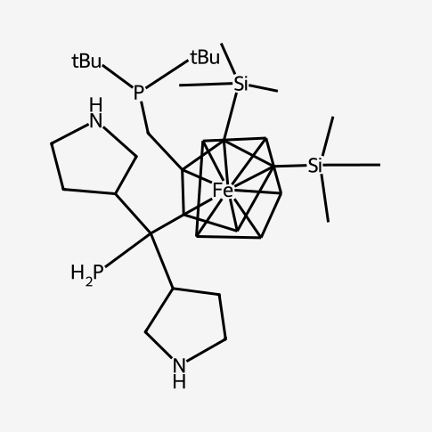 CC(C)(C)P(C[C]12[C]3(C(P)(C4CCNC4)C4CCNC4)[CH]4[C]5([Si](C)(C)C)[C]1([Si](C)(C)C)[Fe]42351678[CH]2[CH]1[CH]6[CH]7[CH]28)C(C)(C)C